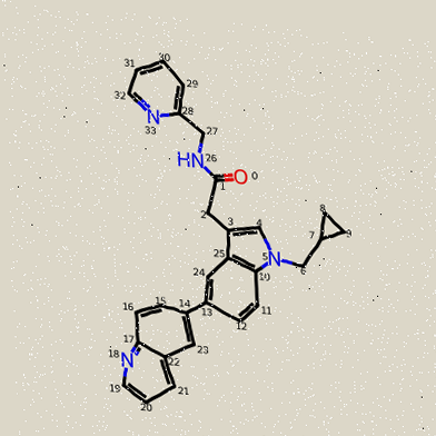 O=C(Cc1cn(CC2CC2)c2ccc(-c3ccc4ncccc4c3)cc12)NCc1ccccn1